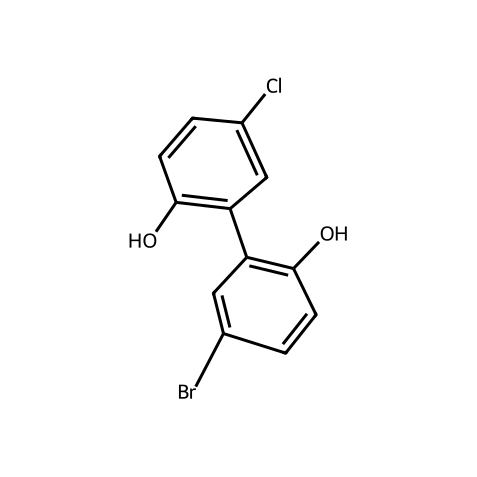 Oc1ccc(Cl)cc1-c1cc(Br)ccc1O